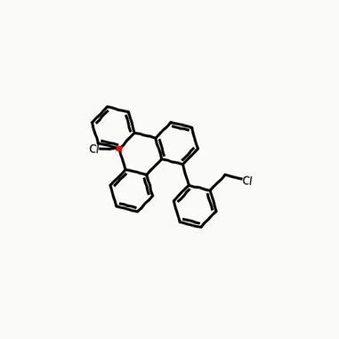 ClCc1ccccc1-c1cccc(-c2ccccc2)c1-c1ccccc1CCl